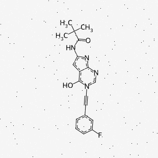 CC(C)(C)C(=O)Nc1cc2c(O)n(C#Cc3cccc(F)c3)cnc-2n1